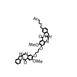 COc1cc2c(cc1OCCCOc1cc3c(cc1OC)C(=O)N1c4cc(CSCCC(C)=O)ccc4C[C@H]1C=N3)N=C[C@@H]1Cc3ccccc3N1C2=O